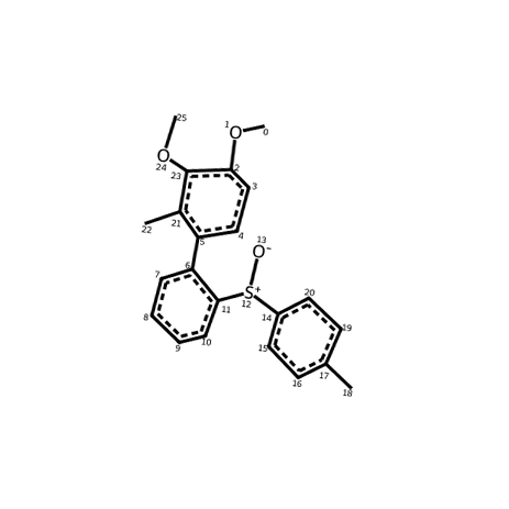 COc1ccc(-c2ccccc2[S+]([O-])c2ccc(C)cc2)c(C)c1OC